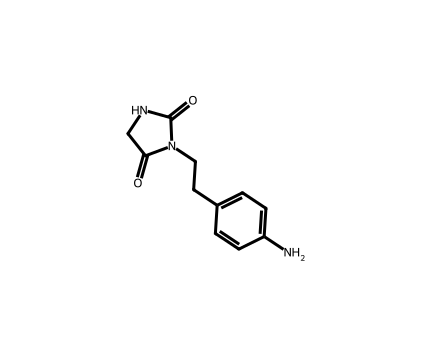 Nc1ccc(CCN2C(=O)CNC2=O)cc1